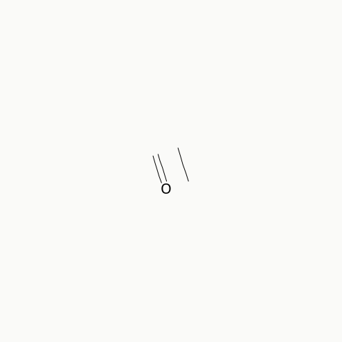 C=O.CC